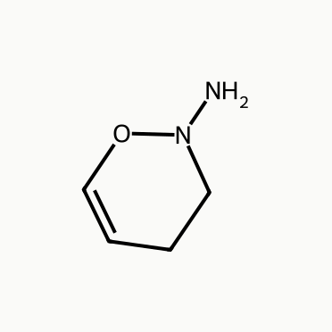 NN1CCC=CO1